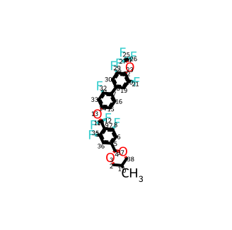 CC1COC(c2cc(F)c(C(F)(F)Oc3ccc(-c4cc(F)c(OC(F)(F)F)c(F)c4)c(F)c3)c(F)c2)OC1